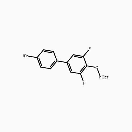 CCCCCCCCOc1c(F)cc(-c2ccc(C(C)C)cc2)cc1F